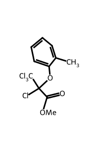 COC(=O)C(Cl)(Oc1ccccc1C)C(Cl)(Cl)Cl